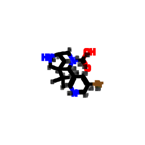 CC(C)(C)C12CNC(CN(C(=O)O)C1c1cncc(Br)c1)C2